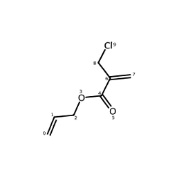 C=CCOC(=O)C(=C)CCl